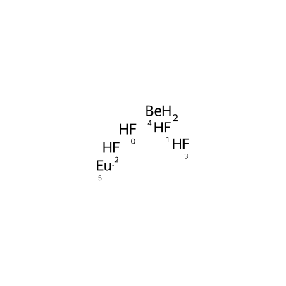 F.F.F.F.[BeH2].[Eu]